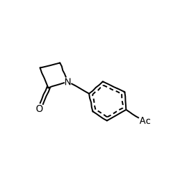 CC(=O)c1ccc(N2CCC2=O)cc1